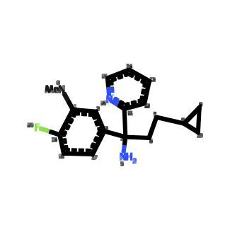 CNc1cc(C(N)(CCC2CC2)c2ccccn2)ccc1F